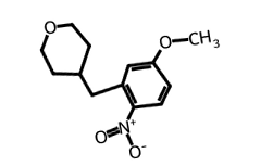 COc1ccc([N+](=O)[O-])c(CC2CCOCC2)c1